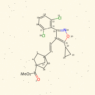 COC(=O)C12CCC(C=Cc3c(-c4c(Cl)cccc4Cl)noc3C3CC3)(CC1)C2